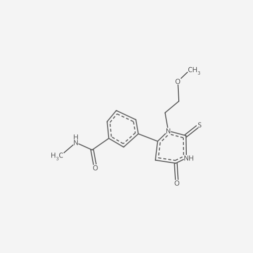 CNC(=O)c1cccc(-c2cc(=O)[nH]c(=S)n2CCOC)c1